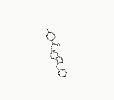 Cc1ccc(C(=O)C[n+]2ccc3c(ccn3Cc3ccccc3)c2)cc1